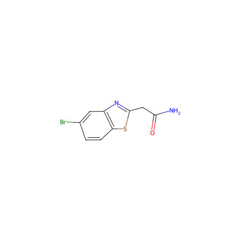 NC(=O)Cc1nc2cc(Br)ccc2s1